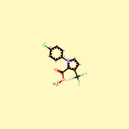 COC(=O)c1c(C(F)(F)F)ccn1-c1ccc(Cl)cc1